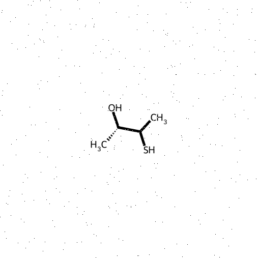 CC(S)[C@H](C)O